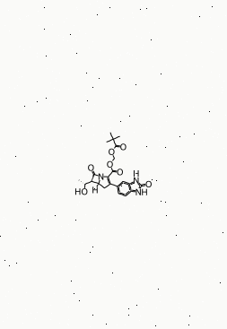 C[C@@H](O)[C@H]1C(=O)N2C(C(=O)OCOC(=O)C(C)(C)C)=C(c3ccc4[nH]c(=O)[nH]c4c3)C[C@H]12